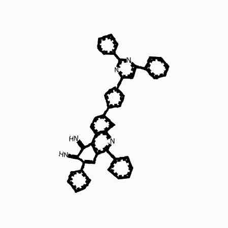 N=C1C(=N)c2c(c(-c3ccccc3)nc3cc(-c4ccc(-c5cc(-c6ccccc6)nc(-c6ccccc6)n5)cc4)ccc23)C=C1c1ccccc1